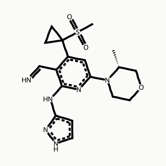 C[C@@H]1COCCN1c1cc(C2(S(C)(=O)=O)CC2)c(C=N)c(Nc2cc[nH]n2)n1